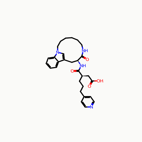 O=C(O)C[C@@H](CCCc1ccncc1)C(=O)N[C@H]1Cc2cn(c3ccccc23)CCCCCCNC1=O